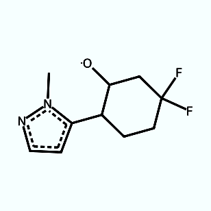 Cn1nccc1C1CCC(F)(F)CC1[O]